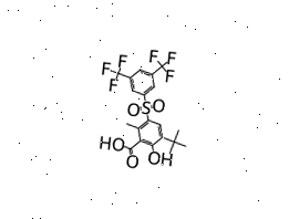 Cc1c(S(=O)(=O)c2cc(C(F)(F)F)cc(C(F)(F)F)c2)cc(C(C)(C)C)c(O)c1C(=O)O